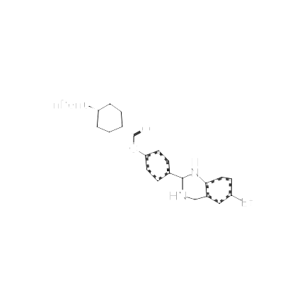 CCCCC[C@H]1CC[C@H](C(=O)Oc2ccc(C3NCc4cc(CC)ccc4N3)cc2)CC1